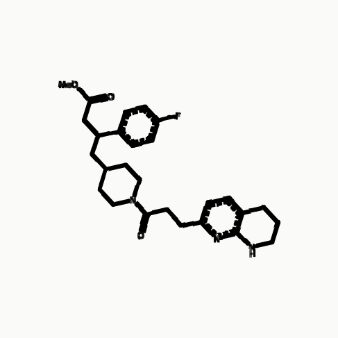 COC(=O)CC(CC1CCN(C(=O)CCc2ccc3c(n2)NCCC3)CC1)c1ccc(F)cc1